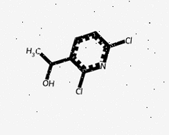 CC(O)c1ccc(Cl)nc1Cl